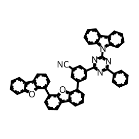 N#Cc1cc(-c2nc(-c3ccccc3)nc(-n3c4ccccc4c4ccccc43)n2)cc(-c2cccc3c2oc2c(-c4cccc5c4oc4ccccc45)cccc23)c1